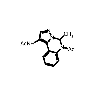 CC(=O)Nc1cnn2c1-c1ccccc1N(C(C)=O)C2C